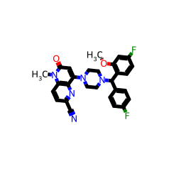 COc1cc(F)ccc1C(c1ccc(F)cc1)N1CCN(c2cc(=O)n(C)c3ccc(C#N)nc23)CC1